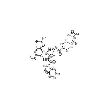 CSc1ccc(OC(F)F)c(-c2nn(CC(=O)N3CCC(N(C)C4COC4)CC3)cc2NC(=O)c2cnn3cccnc23)c1